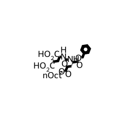 CCCCCCCCOC(=O)CC[C@H](NC(=O)NC(CCC(=O)O)C(=O)O)C(=O)OCc1ccccc1